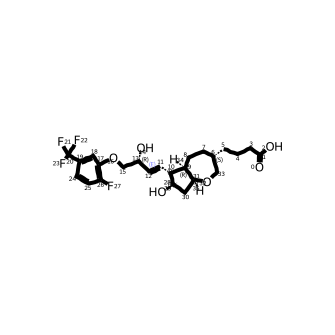 O=C(O)CCC[C@H]1CC[C@@H]2[C@@H](/C=C/[C@@H](O)COc3cc(C(F)(F)F)ccc3F)[C@H](O)C[C@@H]2OC1